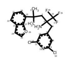 CC(C)(CC(N)(Cc1cc(Cl)nc(Cl)c1)C(F)(F)F)c1cccc2ccoc12